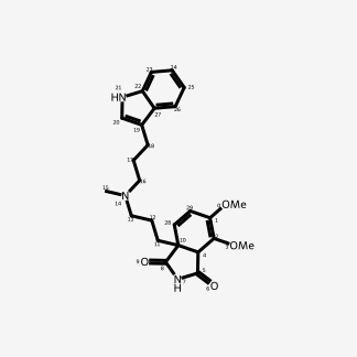 COC1=C(OC)C2C(=O)NC(=O)C2(CCCN(C)CCCc2c[nH]c3ccccc23)C=C1